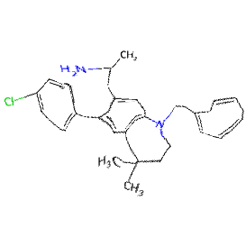 CC(N)c1cc2c(cc1-c1ccc(Cl)cc1)C(C)(C)CCN2Cc1ccccc1